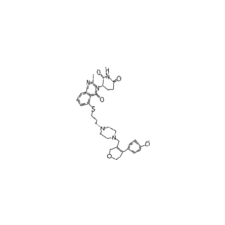 Cc1nc2cccc(SCCCN3CCN(CC4=C(c5ccc(Cl)cc5)CCOC4)CC3)c2c(=O)n1C1CCC(=O)NC1=O